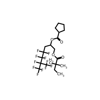 CCC(C)(C)C(=O)OCC(CC(F)(F)C(F)(F)C(F)(C(F)(F)F)C(F)(F)F)OC(=O)C1CCCC1